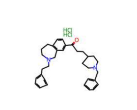 Cl.Cl.O=C(CCC1CCN(Cc2ccccc2)CC1)c1ccc2c(c1)CN(CCc1ccccc1)CCC2